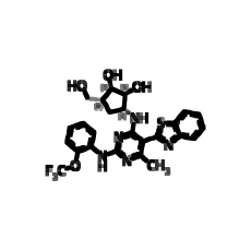 Cc1nc(Nc2ccccc2OC(F)(F)F)nc(N[C@@H]2C[C@H](CO)[C@@H](O)[C@H]2O)c1-c1nc2ccccc2s1